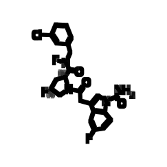 NC(=O)n1cc(CC(=O)N2C[C@H](F)C[C@H]2C(=O)N(F)Cc2cccc(Cl)c2)c2cc(F)ccc21